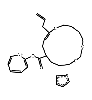 C=CCC1=CCC(C(=O)OC2=CC=CC=CN2)CCCCCCCCCCC1.c1ccsc1